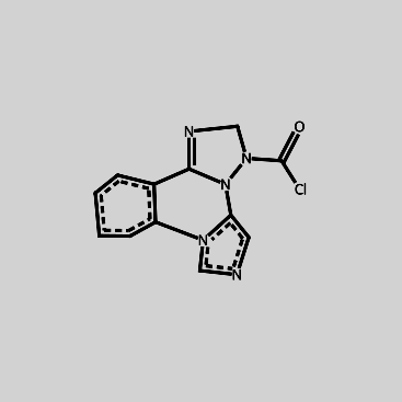 O=C(Cl)N1CN=C2c3ccccc3-n3cncc3N21